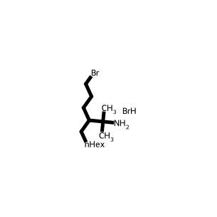 Br.CCCCCCCC(CCCBr)C(C)(C)N